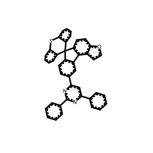 c1ccc(-c2cc(-c3ccc4c(c3)-c3c(ccc5occc35)C43c4ccccc4Sc4ccccc43)nc(-c3ccccc3)n2)cc1